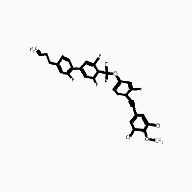 C=CCCc1ccc(C2=CC(F)C(C(F)(F)OC3=CCC(C#CC4=CC(Cl)C(OC(F)(F)F)C(Cl)=C4)C(F)=C3)C(F)=C2)c(F)c1